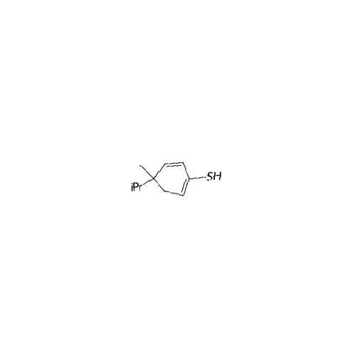 CC(C)C1(C)C=CC(S)=CC1